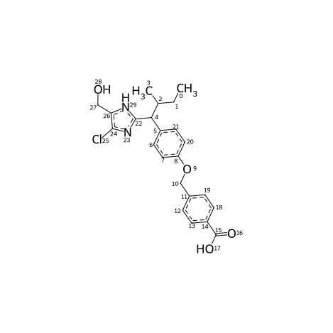 CCC(C)C(c1ccc(OCc2ccc(C(=O)O)cc2)cc1)c1nc(Cl)c(CO)[nH]1